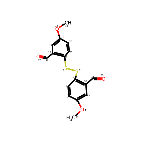 COc1ccc(SSc2ccc(OC)cc2C=O)c(C=O)c1